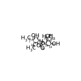 CCc1c(O)ccc(O[PH](=O)Oc2ccc(O)c(CC)c2CC)c1CC